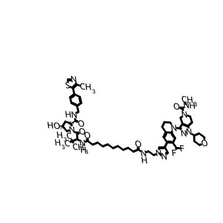 CNC(=O)N1CCc2c(c(N3CCCc4cc(-c5cnn(CCNC(=O)CCCCCCCCCC(=O)NC(C(=O)N6C[C@H](O)C[C@H]6C(=O)NCc6ccc(-c7scnc7C)cc6)C(C)(C)C)c5)c(C(F)F)cc43)nn2C2CCOCC2)C1